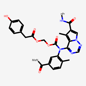 CCCNC(=O)c1cn2ncnc(N(C(=O)OCOC(=O)Cc3ccc(O)cc3)c3cc(C(=O)NC)ccc3C)c2c1C